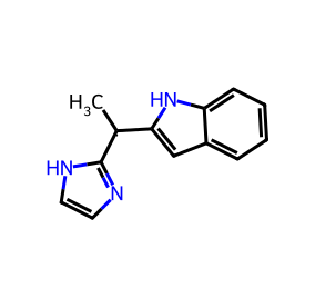 C[C](c1cc2ccccc2[nH]1)c1ncc[nH]1